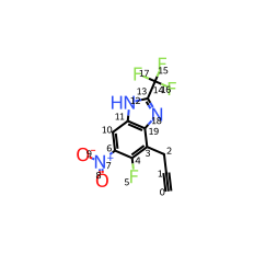 C#CCc1c(F)c([N+](=O)[O-])cc2[nH]c(C(F)(F)F)nc12